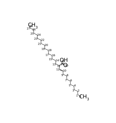 CCCCCCCCCCC=CC(CCCCCCCCCCCCCCCC)C(=O)O